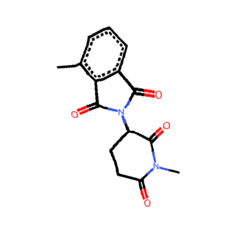 Cc1cccc2c1C(=O)N(C1CCC(=O)N(C)C1=O)C2=O